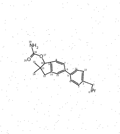 CC(C)Cc1ccc(-c2ccc3c(c2)CC(C)(C)C3OC(N)=O)cc1